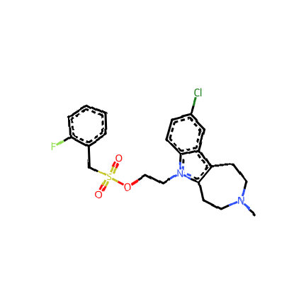 CN1CCc2c(n(CCOS(=O)(=O)Cc3ccccc3F)c3ccc(Cl)cc23)CC1